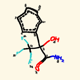 NC(=O)C(O)(c1ccccc1)C(F)(F)F